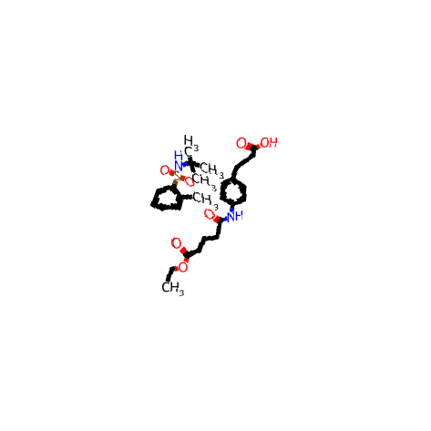 CCOC(=O)CCCC(=O)Nc1ccc(CCC(=O)O)cc1.Cc1ccccc1S(=O)(=O)NC(C)(C)C